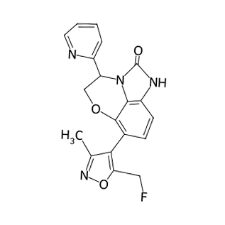 Cc1noc(CF)c1-c1ccc2[nH]c(=O)n3c2c1OCC3c1ccccn1